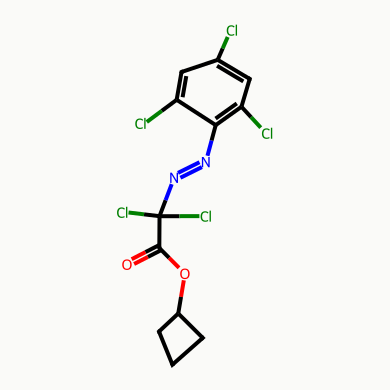 O=C(OC1CCC1)C(Cl)(Cl)N=Nc1c(Cl)cc(Cl)cc1Cl